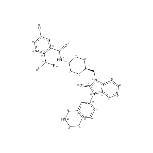 O=C(N[C@H]1CC[C@H](Cn2c(=O)n(-c3ccc4c(c3)CNCC4)c3ccccc32)CC1)c1cc(Cl)cnc1C(F)F